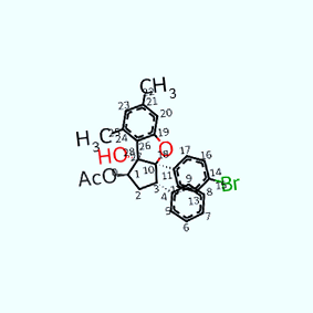 CC(=O)O[C@@H]1C[C@@H](c2ccccc2)[C@]2(c3ccc(Br)cc3)Oc3cc(C)cc(C)c3[C@]12O